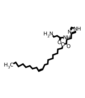 CCCCCCCC/C=C\CCCCCCCCOC(=O)C(Cc1c[nH]cn1)NC(=O)CCN